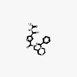 N=C(NC(=O)C(F)(F)F)c1csc(C(=O)NCC2COCCN2C(=O)c2ccccc2)c1